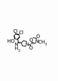 CN1C[C@H](C(=O)N2CCC([C@@H](N)c3cc(Cl)c(Cl)cc3O)CC2)OCC1=O